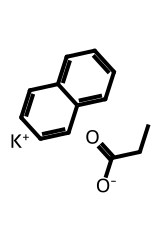 CCC(=O)[O-].[K+].c1ccc2ccccc2c1